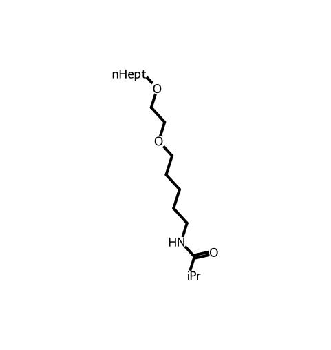 CCCCCCCOCCOCCCCCNC(=O)C(C)C